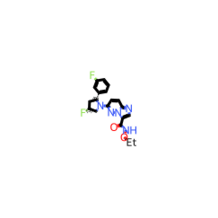 CCONC(=O)c1cnc2ccc(N3C[C@@H](F)C[C@@H]3c3cccc(F)c3)nn12